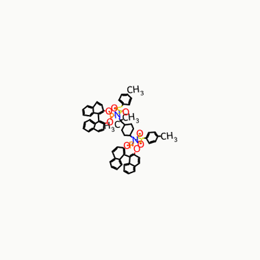 Cc1ccc(S(=O)(=O)N(C2CCC(C(C)(C)N(p3oc4ccc5ccccc5c4c4c(ccc5ccccc54)o3)S(=O)(=O)c3ccc(C)cc3)CC2)p2oc3ccc4ccccc4c3c3c(ccc4ccccc43)o2)cc1